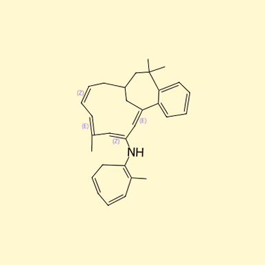 CC1=C(NC2=C\C(C)=C\C=C/CC3C/C(=C\2)c2ccccc2C(C)(C)C3)CC=CC=C1